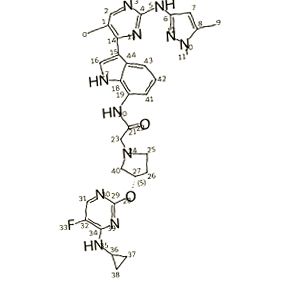 Cc1cnc(Nc2cc(C)n(C)n2)nc1-c1c[nH]c2c(NC(=O)CN3CC[C@H](Oc4ncc(F)c(NC5CC5)n4)C3)cccc12